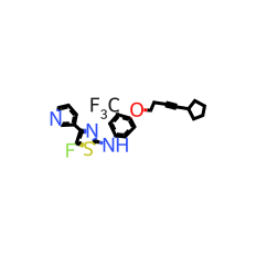 Fc1sc(Nc2ccc(OCCC#CC3CCCC3)c(C(F)(F)F)c2)nc1-c1cccnc1